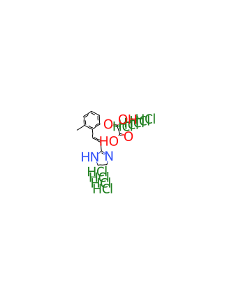 Cc1ccccc1/C=C/C1=NCCN1.Cl.Cl.Cl.Cl.Cl.Cl.Cl.Cl.Cl.O=C(O)C(=O)O